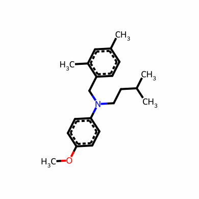 COc1ccc(N(CCC(C)C)Cc2ccc(C)cc2C)cc1